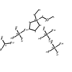 CC[N+]1(COC)CCCC1.FC(F)F.F[B-](F)(F)F.F[B-](F)(F)F.F[B-](F)(F)F